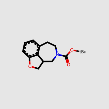 CC(C)(C)OC(=O)N1CCc2cccc3c2C(CO3)C1